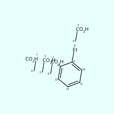 CC(=O)O.CC(=O)O.CC(=O)O.CC(=O)O.[CH2]Cc1ccccc1